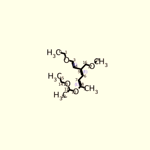 CCO/C=C/C(=C\C=C(/C)OC(C)OCC)COC